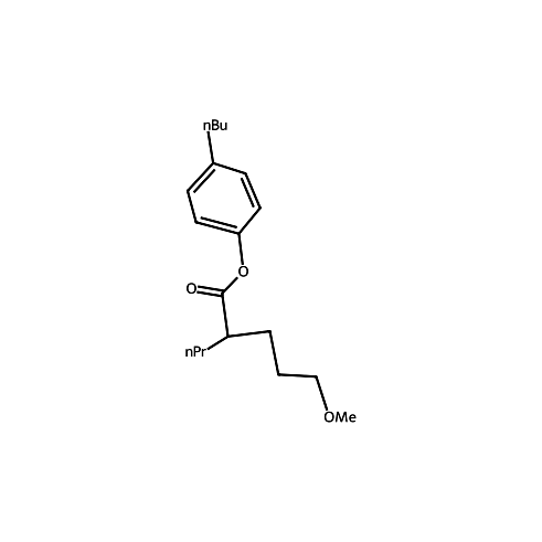 CCCCc1ccc(OC(=O)C(CCC)CCCOC)cc1